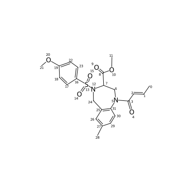 CC=CC(=O)N1CC(C(=O)OC)N(S(=O)(=O)c2ccc(OC)cc2)Cc2cc(C)ccc21